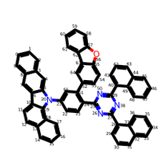 c1ccc2cc3c(cc2c1)c1ccc2ccccc2c1n3-c1ccc(-c2nc(-c3cccc4ccccc34)nc(-c3cccc4ccccc34)n2)c(-c2ccc3oc4ccccc4c3c2)c1